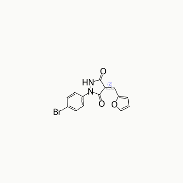 O=C1NN(c2ccc(Br)cc2)C(=O)/C1=C\c1ccco1